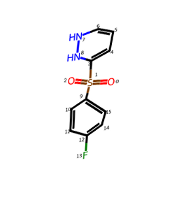 O=S(=O)(C1=CC=CNN1)c1ccc(F)cc1